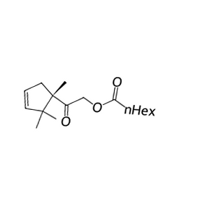 CCCCCCC(=O)OCC(=O)[C@@]1(C)CC=CC1(C)C